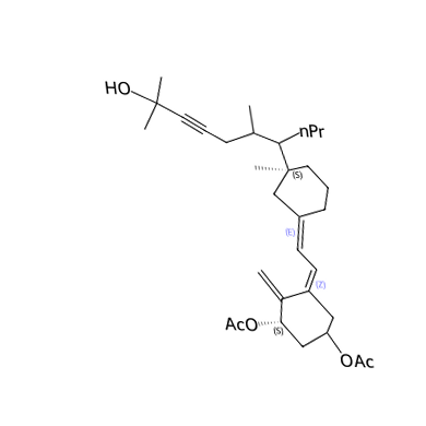 C=C1/C(=C\C=C2/CCC[C@](C)(C(CCC)C(C)CC#CC(C)(C)O)C2)CC(OC(C)=O)C[C@@H]1OC(C)=O